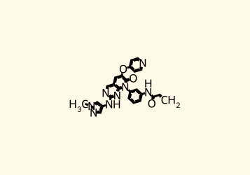 C=CC(=O)Nc1cccc(-n2c(=O)c(Oc3ccncc3)cc3cnc(Nc4cnn(C)c4)nc32)c1